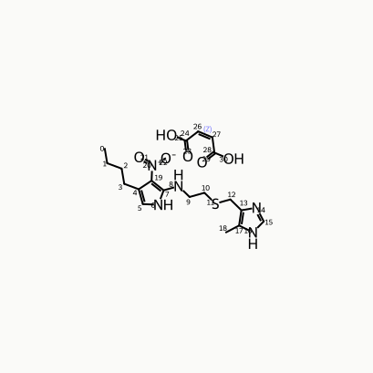 CCCCc1c[nH]c(NCCSCc2nc[nH]c2C)c1[N+](=O)[O-].O=C(O)/C=C\C(=O)O